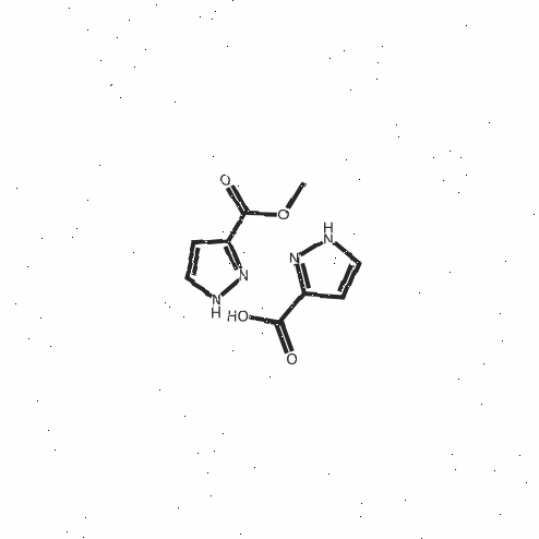 COC(=O)c1cc[nH]n1.O=C(O)c1cc[nH]n1